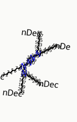 CCCCCCCCCCCCCCCCCCCN(CCN(CCCCCCCCCCCCCCCCCC)CCCCCCCCCCCCCCCCCC)CCN1CCN(CCN(CCCCCCCCCCCCCCCCCC)CCCCCCCCCCCCCCCCCC)CC1